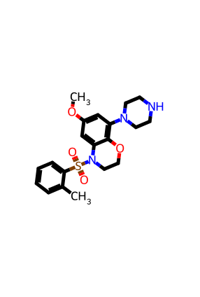 COc1cc(N2CCNCC2)c2c(c1)N(S(=O)(=O)c1ccccc1C)CCO2